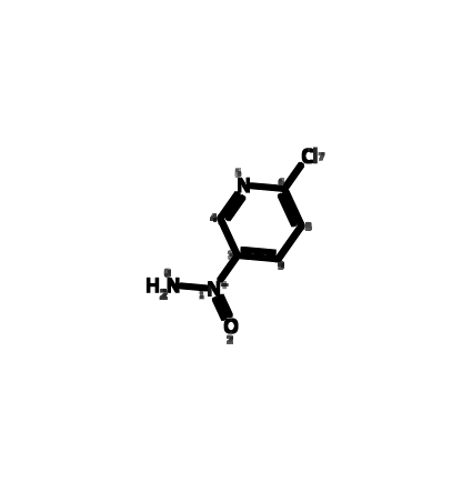 N[N+](=O)c1[c]nc(Cl)cc1